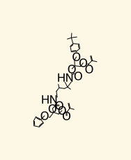 C=C(C)C(=O)OCC(COc1ccccc1)OC(=O)NCCC(C)CC(C)(C)CNC(=O)OC(COC(=O)C(=C)C)COc1ccc(C(C)(C)C)cc1